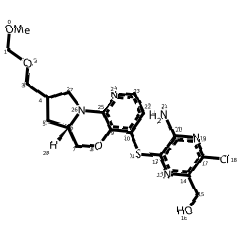 COCOCC1C[C@H]2COc3c(Sc4nc(CO)c(Cl)nc4N)ccnc3N2C1